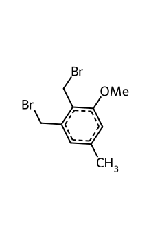 COc1cc(C)cc(CBr)c1CBr